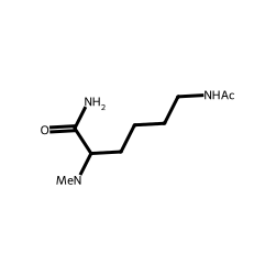 CNC(CCCCNC(C)=O)C(N)=O